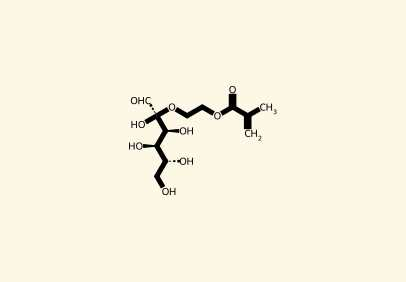 C=C(C)C(=O)OCCO[C@@](O)(C=O)[C@@H](O)[C@H](O)[C@H](O)CO